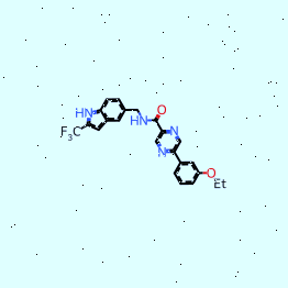 CCOc1cccc(-c2cnc(C(=O)NCc3ccc4[nH]c(C(F)(F)F)cc4c3)cn2)c1